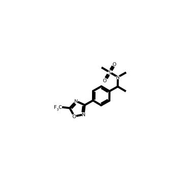 CC(c1ccc(-c2noc(C(F)(F)F)n2)cc1)N(C)S(C)(=O)=O